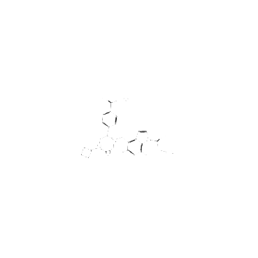 COC(=O)c1ccc(C2CN(C3CCC3)CCN2Cc2c(OC)cc(C)c3c2ccn3C(=O)OC(C)(C)C)cc1